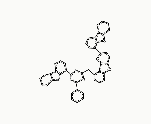 c1ccc(-c2nc(Cc3cccc4oc5ccc(-c6cccc7c6sc6ccccc67)cc5c34)nc(-c3cccc4c3oc3ccccc34)n2)cc1